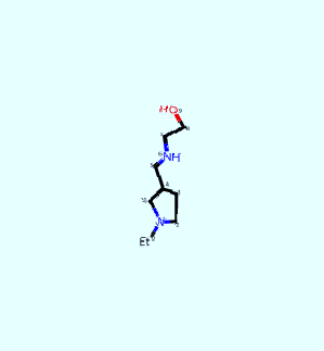 CCN1CCC(CNCCO)C1